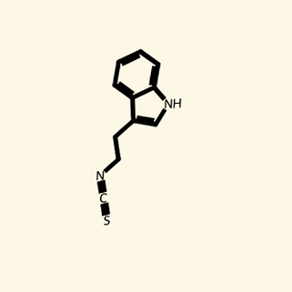 S=C=NCCc1c[nH]c2ccccc12